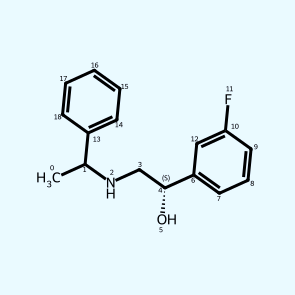 CC(NC[C@@H](O)c1cccc(F)c1)c1ccccc1